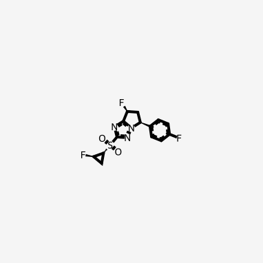 O=S(=O)(c1nc2n(n1)[C@H](c1ccc(F)cc1)C[C@@H]2F)[C@@H]1C[C@H]1F